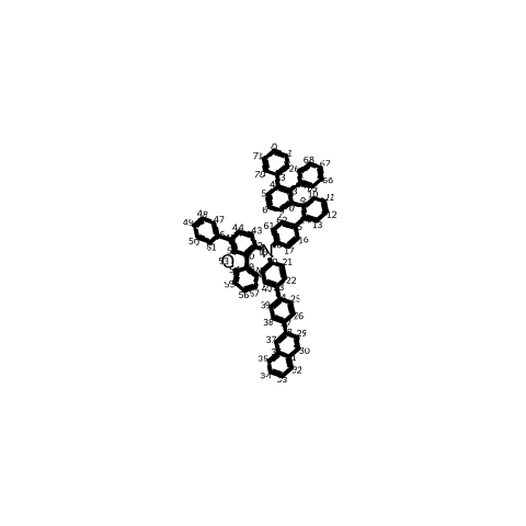 c1ccc(-c2cccc(-c3ccccc3-c3ccc(N(c4ccc(-c5ccc(-c6ccc7ccccc7c6)cc5)cc4)c4ccc(-c5ccccc5)c5oc6ccccc6c45)cc3)c2-c2ccccc2)cc1